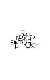 CCNc1ncc(C(N)=O)c(NC2CC[C@@H](C)[C@H](O)C2)n1